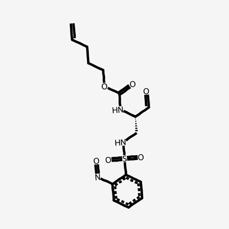 C=CCCCOC(=O)N[C@H](C=O)CNS(=O)(=O)c1ccccc1N=O